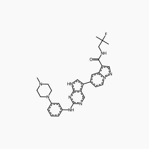 CN1CCN(c2cccc(Nc3ncc4c(-c5ccn6ncc(C(=O)NCC(C)(C)F)c6c5)c[nH]c4n3)c2)CC1